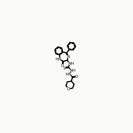 O=C(NNC(=S)NC1N=C(c2ccccc2)c2ccccc2NC1=O)C1CCOCC1